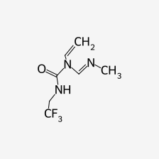 C=CN(C=NC)C(=O)NCC(F)(F)F